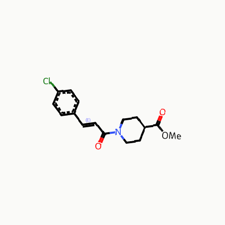 COC(=O)C1CCN(C(=O)/C=C/c2ccc(Cl)cc2)CC1